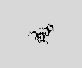 NCC(=O)N[C@@H](Cc1[nH]cnc1S)C(=O)O